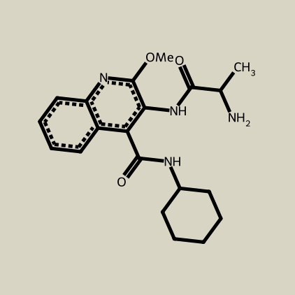 COc1nc2ccccc2c(C(=O)NC2CCCCC2)c1NC(=O)C(C)N